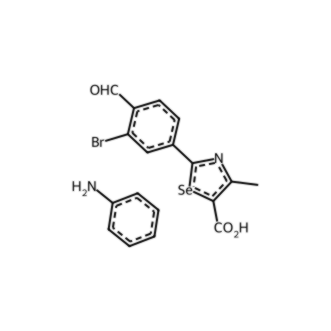 Cc1nc(-c2ccc(C=O)c(Br)c2)[se]c1C(=O)O.Nc1ccccc1